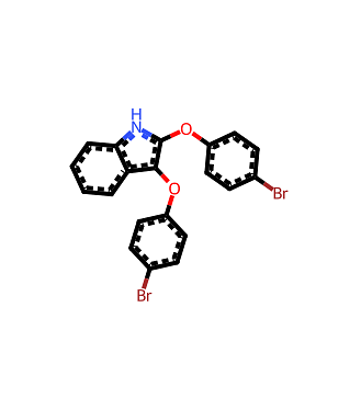 Brc1ccc(Oc2[nH]c3ccccc3c2Oc2ccc(Br)cc2)cc1